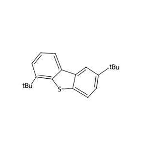 CC(C)(C)c1ccc2sc3c(C(C)(C)C)cccc3c2c1